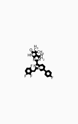 CC1(C)C(=O)Nc2nc(-c3nc(Cc4c(F)ccc(F)c4F)n4cc(-c5ccc(F)cc5)ccc34)nc(N)c21